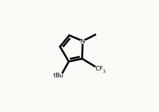 Cn1ccc(C(C)(C)C)c1C(F)(F)F